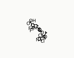 O=C(O)c1cc(C(F)(F)F)c2nc(C34CCC(OCc5c(-c6c(Cl)cncc6Cl)noc5C5CC5)(CC3)CC4)ccc2c1